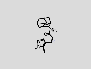 Cc1c(/C=C\C(=O)NC2C3CC4CC(C3)CC2C4)cnn1C